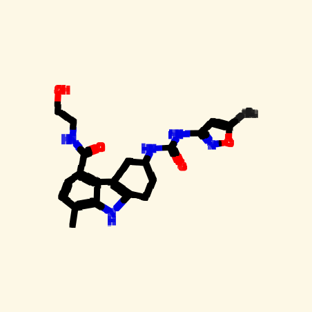 Cc1ccc(C(=O)NCCO)c2c3c([nH]c12)CCC(NC(=O)Nc1cc(C(C)(C)C)on1)C3